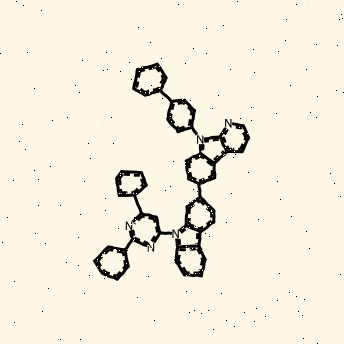 c1ccc(-c2ccc(-n3c4ccc(-c5ccc6c7ccccc7n(-c7cc(-c8ccccc8)nc(-c8ccccc8)n7)c6c5)cc4c4cccnc43)cc2)cc1